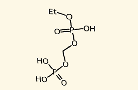 CCOP(=O)(O)OCOP(=O)(O)O